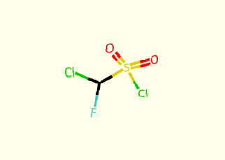 O=S(=O)(Cl)C(F)Cl